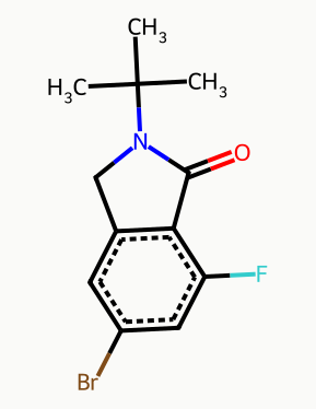 CC(C)(C)N1Cc2cc(Br)cc(F)c2C1=O